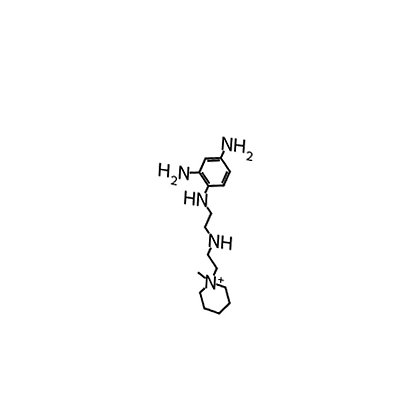 C[N+]1(CCNCCNc2ccc(N)cc2N)CCCCC1